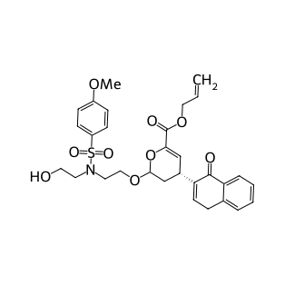 C=CCOC(=O)C1=C[C@H](C2=CCc3ccccc3C2=O)CC(OCCN(CCO)S(=O)(=O)c2ccc(OC)cc2)O1